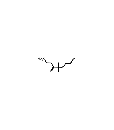 CC(C)CCOC(C)(C)C(=O)CCC(=O)O